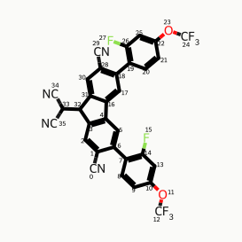 N#Cc1cc2c(cc1-c1ccc(OC(F)(F)F)cc1F)-c1cc(-c3ccc(OC(F)(F)F)cc3F)c(C#N)cc1C2C(C#N)C#N